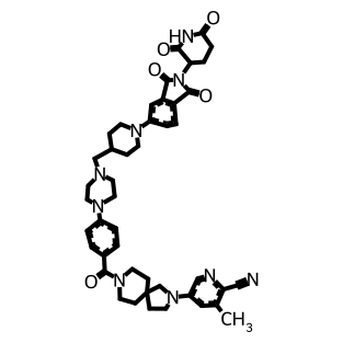 Cc1cc(N2CCC3(CCN(C(=O)c4ccc(N5CCN(CC6CCN(c7ccc8c(c7)C(=O)N(C7CCC(=O)NC7=O)C8=O)CC6)CC5)cc4)CC3)C2)cnc1C#N